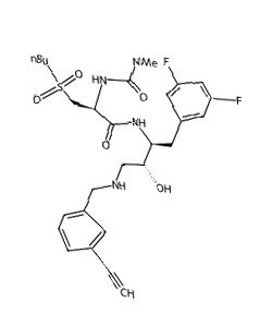 C#Cc1cccc(CNC[C@@H](O)[C@H](Cc2cc(F)cc(F)c2)NC(=O)[C@@H](CS(=O)(=O)CCCC)NC(=O)NC)c1